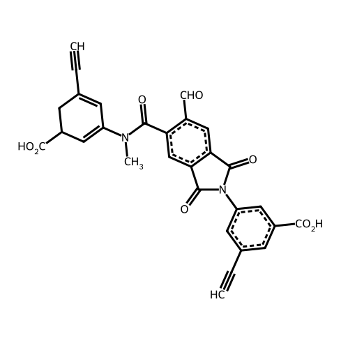 C#CC1=CC(N(C)C(=O)c2cc3c(cc2C=O)C(=O)N(c2cc(C#C)cc(C(=O)O)c2)C3=O)=CC(C(=O)O)C1